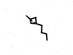 CCCCC12CC(I)(C1)C2